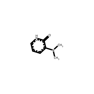 CN(C)c1ccc[nH]c1=O